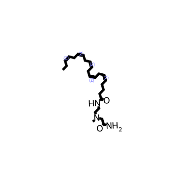 CC/C=C\C/C=C\C/C=C\C/C=C\C/C=C\CCCC(=O)NCCN(C)CC(N)=O